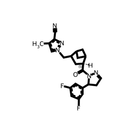 Cc1cn(CC2C[C@H](C(=O)N3N=CCC3c3cc(F)cc(F)c3)C3CC2C3)nc1C#N